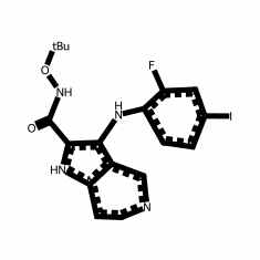 CC(C)(C)ONC(=O)c1[nH]c2ccncc2c1Nc1ccc(I)cc1F